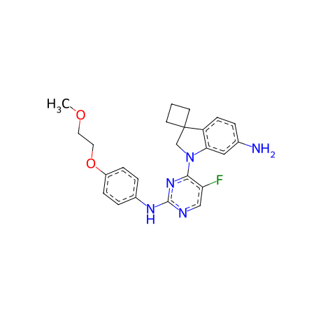 COCCOc1ccc(Nc2ncc(F)c(N3CC4(CCC4)c4ccc(N)cc43)n2)cc1